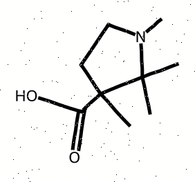 CN1CCC(C)(C(=O)O)C1(C)C